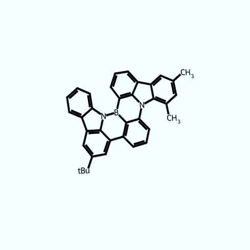 Cc1cc(C)c2c(c1)c1cccc3c1n2-c1cccc2c1B3n1c3ccccc3c3cc(C(C)(C)C)cc-2c31